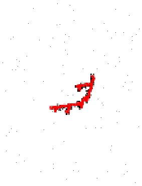 CCCCCC(CCCCC)CCOC(=O)CCCCCCCCCC(CCCCCCCC(=O)OCCC(CCCCC)CCCCCC(C)CCCC(CCCCC)CCOC(=O)CCCCCCCCCC(CCCCCCCC(=O)OCCC(CCCCC)CCCCC)OCCCCN1CCOCC1)OCCCCN1CCCC1